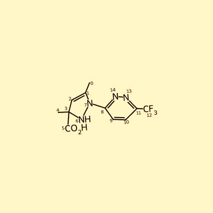 CC1=CC(C)(C(=O)O)NN1c1ccc(C(F)(F)F)nn1